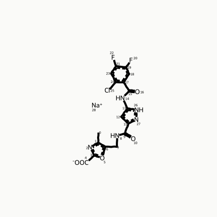 Cc1nc(C(=O)[O-])oc1CNC(=O)c1cc(NC(=O)c2cc(F)c(F)cc2Cl)[nH]n1.[Na+]